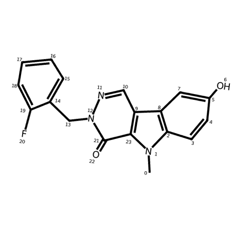 Cn1c2ccc(O)cc2c2cnn(Cc3ccccc3F)c(=O)c21